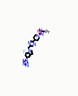 CC(C)c1noc(N2CCC(c3cnc(Cn4ccc5cc(-n6cnnn6)cc(F)c54)cn3)CC2)n1